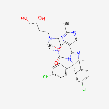 CCOc1nc(C(C)(C)C)ncc1C1=N[C@@](C)(c2ccc(Cl)cc2)[C@@](C)(c2ccc(Cl)cc2)N1C(=O)N1CCN(CC[C@@H](O)CO)CC1